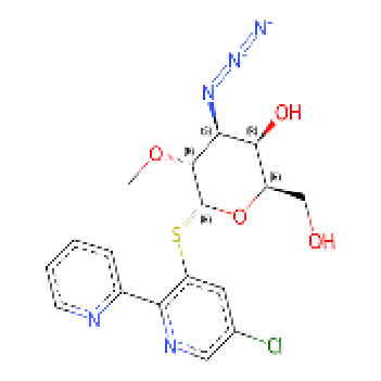 CO[C@@H]1[C@@H](N=[N+]=[N-])[C@@H](O)[C@@H](CO)O[C@@H]1Sc1cc(Cl)cnc1-c1ccccn1